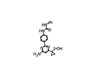 CC(C)NC(=O)Nc1ccc(-c2nc(N)cc(C3(SO)CC3)n2)cc1